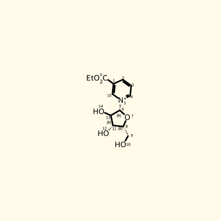 CCOC(=O)c1ccc[n+]([C@@H]2O[C@H](CO)[C@H](O)C2O)c1